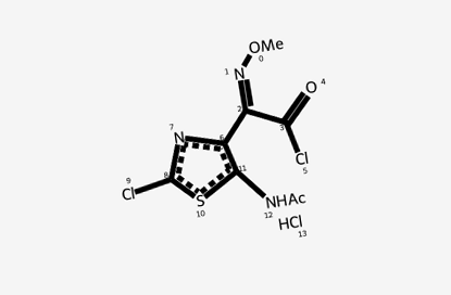 CON=C(C(=O)Cl)c1nc(Cl)sc1NC(C)=O.Cl